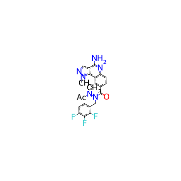 CC(=O)N(C)N(Cc1ccc(F)c(F)c1F)C(=O)c1ccc2nc(N)c3cnn(C)c3c2c1